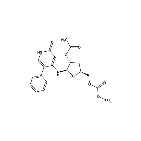 COC(=O)OC[C@@H]1C[C@@H](OC(C)=O)[C@H](Nc2nc(=O)[nH]cc2-c2ccccc2)O1